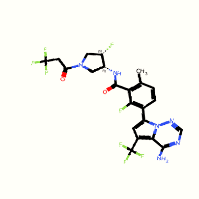 Cc1ccc(-c2cc(C(F)(F)F)c3c(N)ncnn23)c(F)c1C(=O)N[C@@H]1CN(C(=O)CC(F)(F)F)C[C@@H]1F